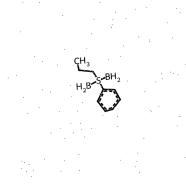 BS(B)(CCC)c1ccccc1